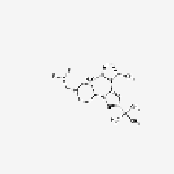 Cc1ccc(C)n1-c1cc(C(C)(C)C)nn1C1CCN(CC(F)F)CC1